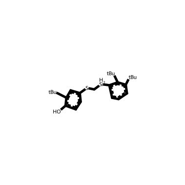 CC(C)(C)c1cc(SC[SiH2]c2cccc(C(C)(C)C)c2C(C)(C)C)ccc1O